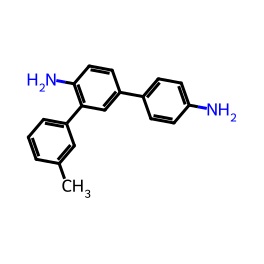 Cc1cccc(-c2cc(-c3ccc(N)cc3)ccc2N)c1